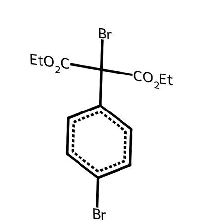 CCOC(=O)C(Br)(C(=O)OCC)c1ccc(Br)cc1